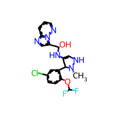 CN1NC=C(NC(O)c2cnc3cccnn23)C1c1cc(Cl)ccc1OC(F)F